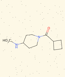 O=C(O)NC1CCN(C(=O)C2CCC2)CC1